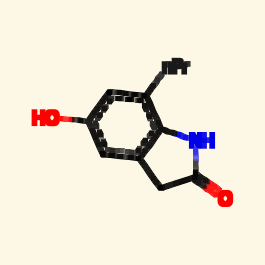 CCCc1cc(O)cc2c1NC(=O)C2